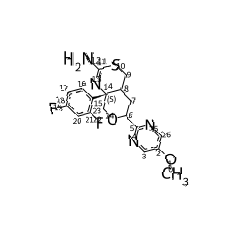 COc1cnc(C2CC3CSC(N)=N[C@@]3(c3ccc(F)cc3F)CO2)nc1